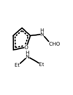 CCNCC.O=CNc1ccco1